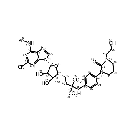 CC(C)Nc1nc(Cl)nc2c1ncn2[C@@H]1O[C@H](COC(Cc2ccc(N3CCCN(CCO)C3=O)cc2)(C(=O)O)C(=O)O)[C@@](C)(O)[C@H]1O